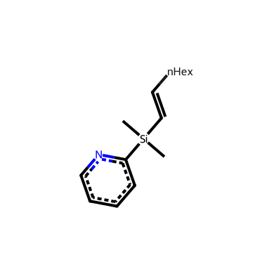 CCCCCCC=C[Si](C)(C)c1ccccn1